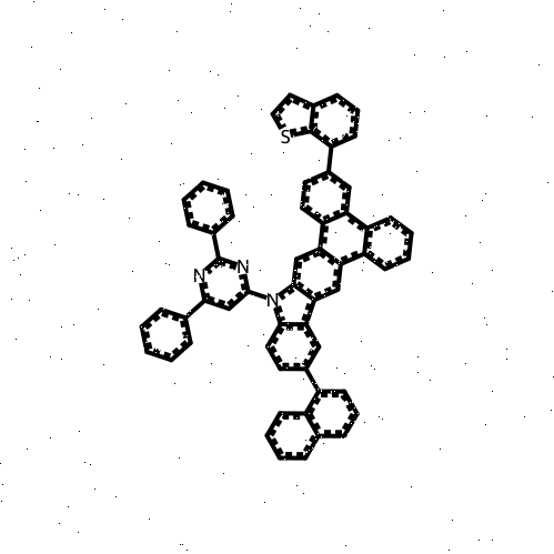 c1ccc(-c2cc(-n3c4ccc(-c5cccc6ccccc56)cc4c4cc5c6ccccc6c6cc(-c7cccc8ccsc78)ccc6c5cc43)nc(-c3ccccc3)n2)cc1